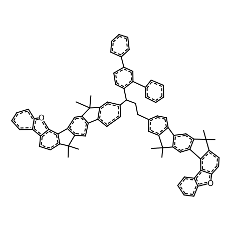 CC1(C)c2cc(C(CCc3ccc4c(c3)C(C)(C)c3cc5c(cc3-4)C(C)(C)c3ccc4oc6ccccc6c4c3-5)c3ccc(-c4ccccc4)cc3-c3ccccc3)ccc2-c2cc3c(cc21)-c1c(ccc2c1oc1ccccc12)C3(C)C